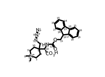 C[N+]1(C)CCC(CN=[N+]=[N-])([C@@H](NC(=O)OCC2c3ccccc3-c3ccccc32)C(=O)O)CC1